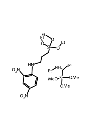 CCN.CCO[Si](CCCNc1ccc([N+](=O)[O-])cc1[N+](=O)[O-])(OCC)OCC.CO[Si](CC(C)C)(OC)OC